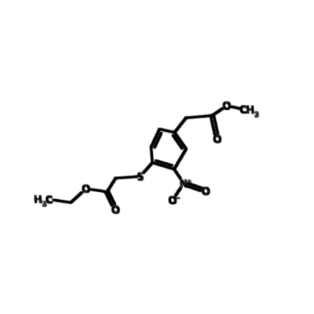 CCOC(=O)CSc1ccc(CC(=O)OC)cc1[N+](=O)[O-]